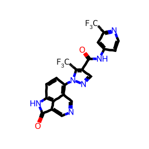 O=C(Nc1ccnc(C(F)(F)F)c1)c1cnn(-c2ccc3c4c(cncc24)C(=O)N3)c1C(F)(F)F